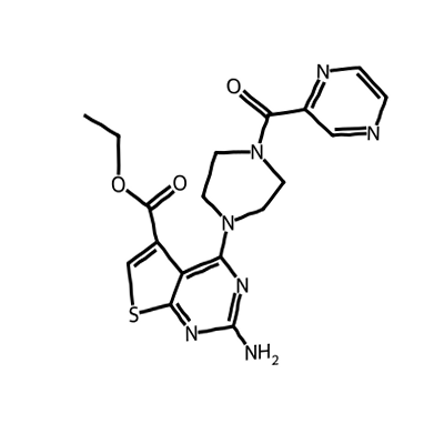 CCOC(=O)c1csc2nc(N)nc(N3CCN(C(=O)c4cnccn4)CC3)c12